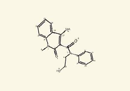 Cn1c(=O)c(C(=O)N(CCO)c2ccccc2)c(O)c2ccccc21